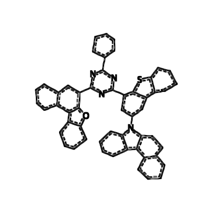 c1ccc(-c2nc(-c3cc4ccccc4c4c3oc3ccccc34)nc(-c3cc(-n4c5ccccc5c5c6ccccc6ccc54)cc4c3sc3ccccc34)n2)cc1